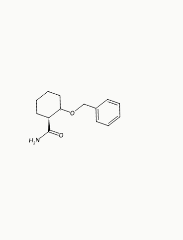 NC(=O)[C@H]1CCCC[C]1OCc1ccccc1